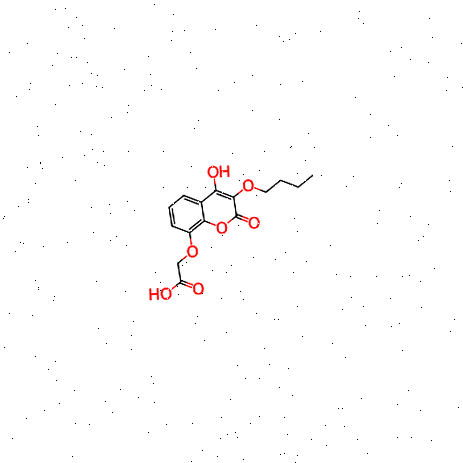 CCCCOc1c(O)c2cccc(OCC(=O)O)c2oc1=O